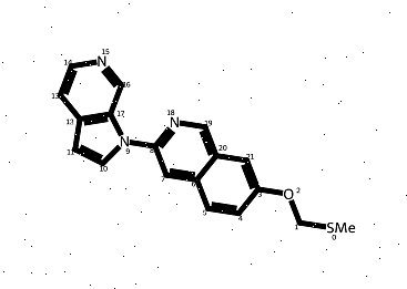 CSCOc1ccc2cc(-n3ccc4ccncc43)ncc2c1